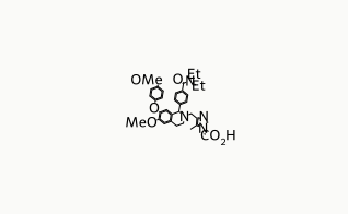 CCN(CC)C(=O)c1ccc(C2c3cc(Oc4ccc(OC)cc4)c(OC)cc3CCN2Cc2ncn(C(=O)O)c2C)cc1